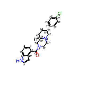 O=C(c1cccc2[nH]ccc12)N1CCN2C[C@@H](c3ccc(Cl)cc3)CC[C@@H]2C1